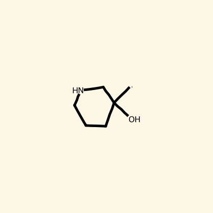 [CH2]C1(O)CCCNC1